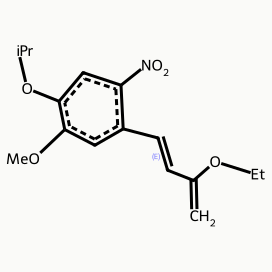 C=C(/C=C/c1cc(OC)c(OC(C)C)cc1[N+](=O)[O-])OCC